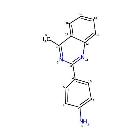 Cc1nc(-c2ccc(N)cc2)nc2ccccc12